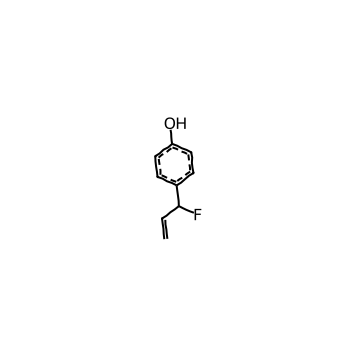 C=CC(F)c1ccc(O)cc1